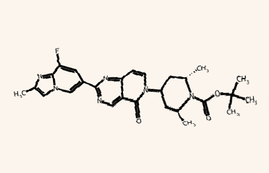 Cc1cn2cc(-c3ncc4c(=O)n(C5C[C@H](C)N(C(=O)OC(C)(C)C)[C@@H](C)C5)ccc4n3)cc(F)c2n1